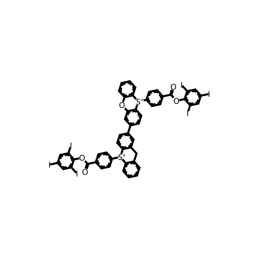 O=C(Oc1c(I)cc(I)cc1I)c1ccc([S+]2c3ccccc3Cc3cc(-c4ccc5c(c4)Oc4ccccc4[S+]5c4ccc(C(=O)Oc5c(I)cc(I)cc5I)cc4)ccc32)cc1